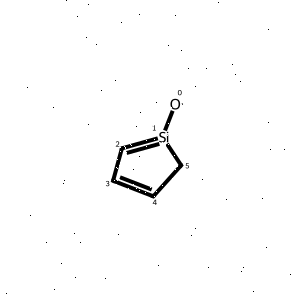 [O][Si]1=CC=CC1